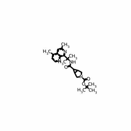 Cc1cc2c(C)ccnc2c(C(C)(C)NC(=O)C2C3CN(C(=O)OC(C)(C)C)CC32)n1